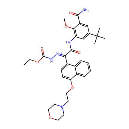 CCOC(=O)N/N=C(/C(=O)Nc1cc(C(C)(C)C)cc(C(N)=O)c1OC)c1ccc(OCCN2CCOCC2)c2ccccc12